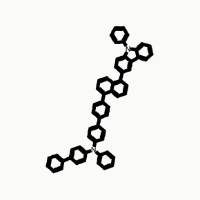 c1ccc(-c2ccc(N(c3ccccc3)c3ccc(-c4ccc(-c5cccc6c(-c7ccc8c(c7)c7ccccc7n8-c7ccccc7)cccc56)cc4)cc3)cc2)cc1